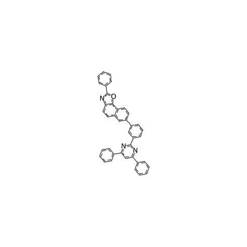 c1ccc(-c2cc(-c3ccccc3)nc(-c3cccc(-c4ccc5c(ccc6nc(-c7ccccc7)oc65)c4)c3)n2)cc1